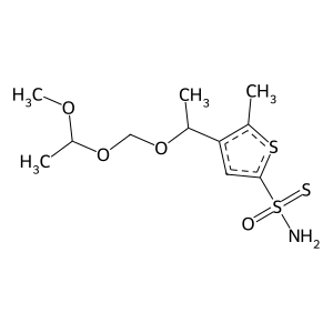 COC(C)OCOC(C)c1cc(S(N)(=O)=S)sc1C